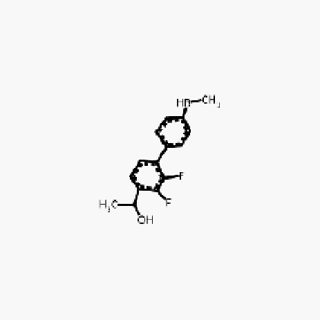 CBc1ccc(-c2ccc(C(C)O)c(F)c2F)cc1